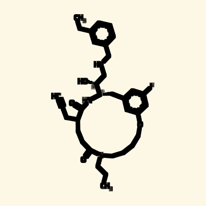 C#CCC1CCC(=O)N(CCC)CCCCOc2cc(F)cc(c2)C[C@@H]([C@H](O)CNCc2cccc(CC)c2)NC1=O